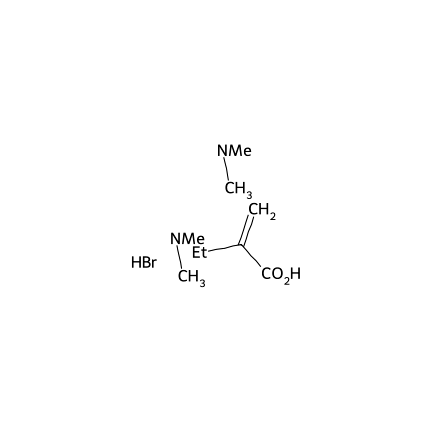 Br.C=C(CC)C(=O)O.CNC.CNC